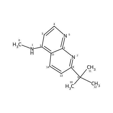 CNc1ccnc2nc(C(C)(C)C)ccc12